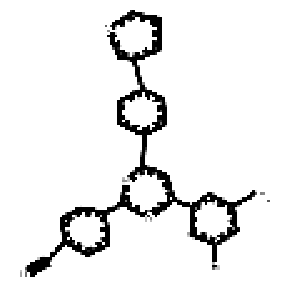 Bc1cc(Br)cc(-c2cc(-c3ccc(-c4cccnc4)cc3)nc(-c3ccc(C#N)cc3)n2)c1